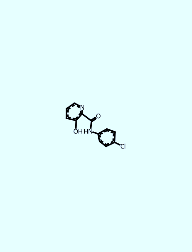 O=C(Nc1ccc(Cl)cc1)c1ncccc1O